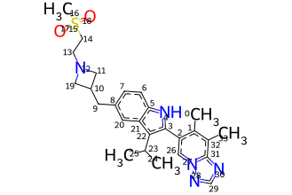 Cc1c(-c2[nH]c3ccc(CC4CN(CCS(C)(=O)=O)C4)cc3c2C(C)C)cn2ncnc2c1C